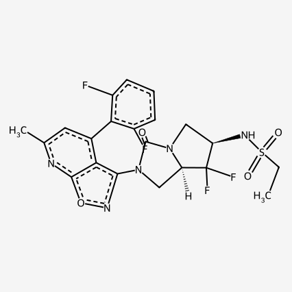 CCS(=O)(=O)N[C@@H]1CN2C(=O)N(c3noc4nc(C)cc(-c5c(F)cccc5F)c34)C[C@@H]2C1(F)F